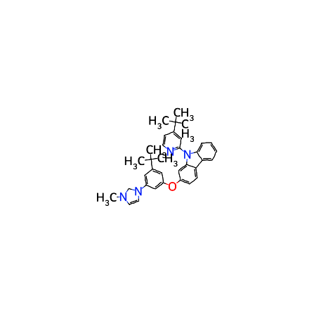 CN1C=CN(c2cc(Oc3ccc4c5ccccc5n(-c5cc(C(C)(C)C)ccn5)c4c3)cc(C(C)(C)C)c2)C1